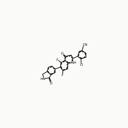 N#Cc1ccc(Cl)c(-c2cc(=O)c3c(F)c(-c4ccc5c(c4)C(=O)NC5)c(F)cc3[nH]2)c1